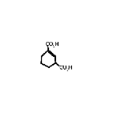 O=C(O)C1=CC(C(=O)O)CCC1